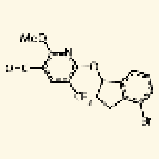 COc1nc(OC2CCc3c(Br)cccc32)c(C(F)(F)F)cc1C=O